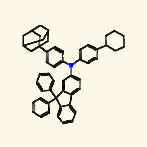 c1ccc(C2(c3ccccc3)c3ccccc3-c3ccc(N(c4ccc(C5CCCCC5)cc4)c4ccc(C56CC7CC(CC(C7)C5)C6)cc4)cc32)cc1